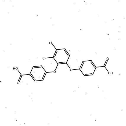 O=C(O)c1ccc(Oc2ccc(Cl)c(Cl)c2Oc2ccc(C(=O)O)cc2)cc1